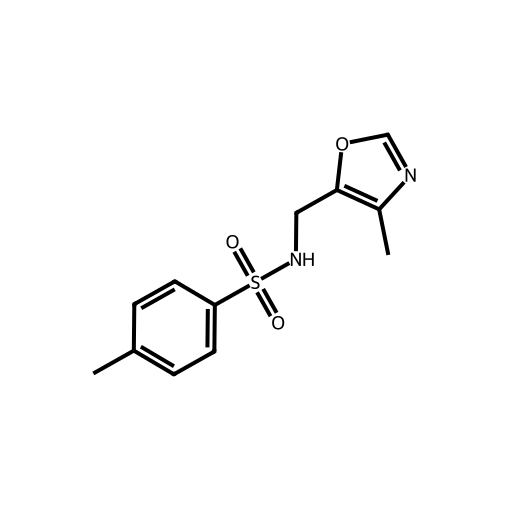 Cc1ccc(S(=O)(=O)NCc2ocnc2C)cc1